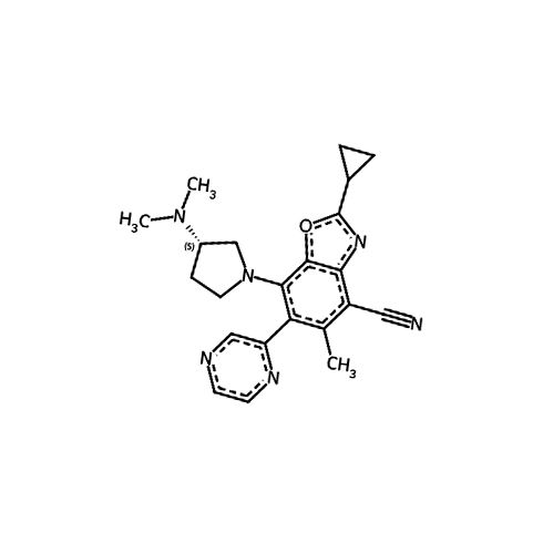 Cc1c(-c2cnccn2)c(N2CC[C@H](N(C)C)C2)c2oc(C3CC3)nc2c1C#N